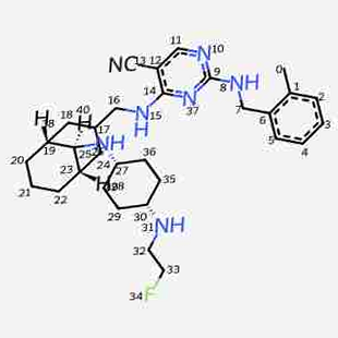 Cc1ccccc1CNc1ncc(C#N)c(NCC2C[C@H]3CCC[C@@H](C2)[C@@H]3N[C@H]2CC[C@@H](NCCF)CC2)n1